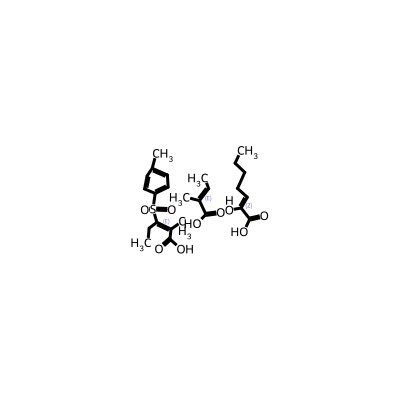 C/C=C(\C)C(=O)O.CC/C(=C(/C)C(=O)O)S(=O)(=O)c1ccc(C)cc1.CCCC/C=C(\O)C(=O)O